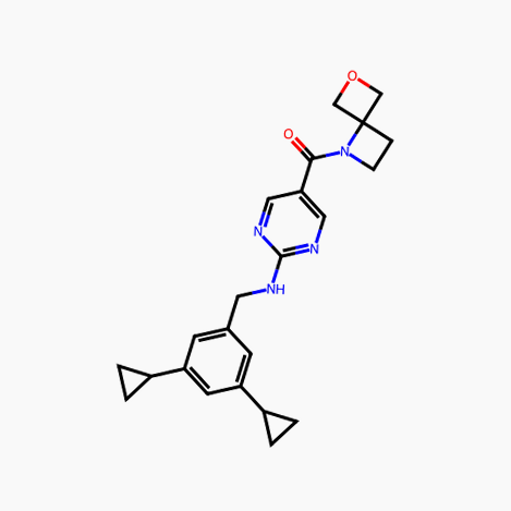 O=C(c1cnc(NCc2cc(C3CC3)cc(C3CC3)c2)nc1)N1CCC12COC2